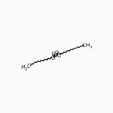 CCCCCCCCCCCCCCCOC(=O)CC(=O)OCCCCCCCCCCCCCCC